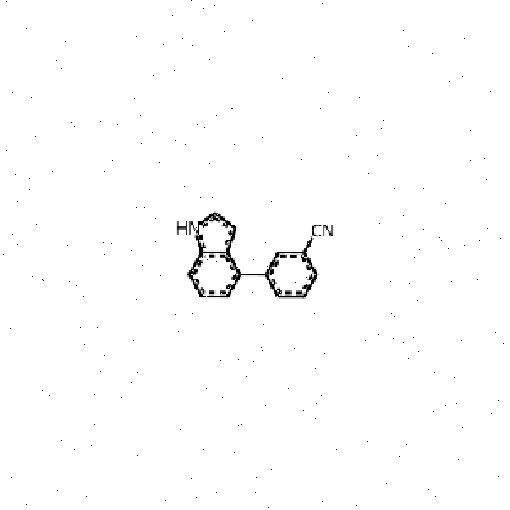 N#Cc1cccc(-c2cccc3[nH]ccc23)c1